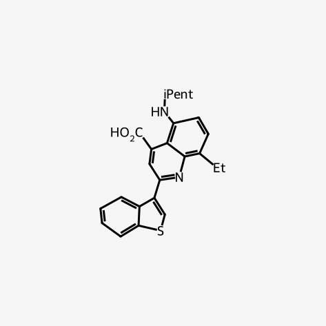 CCCC(C)Nc1ccc(CC)c2nc(-c3csc4ccccc34)cc(C(=O)O)c12